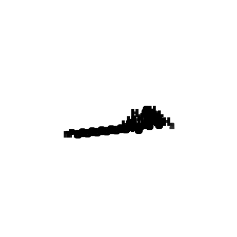 CCCOCCOCCOCCOCCOCCOCCOCCOCCOCCOCCOCCN/C=C(/CNC(=O)OCc1ccc(NC(=O)[C@H](CCCNC(N)=O)NC(=O)[C@@H](NC(=O)CON(C)C)C(C)C)cc1)N=N